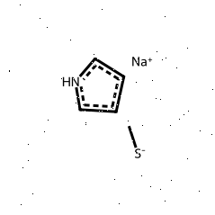 C[S-].[Na+].c1cc[nH]c1